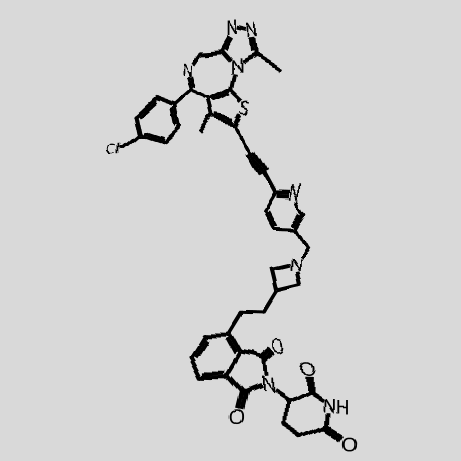 Cc1c(C#Cc2ccc(CN3CC(CCc4cccc5c4C(=O)N(C4CCC(=O)NC4=O)C5=O)C3)cn2)sc2c1C(c1ccc(Cl)cc1)=NCc1nnc(C)n1-2